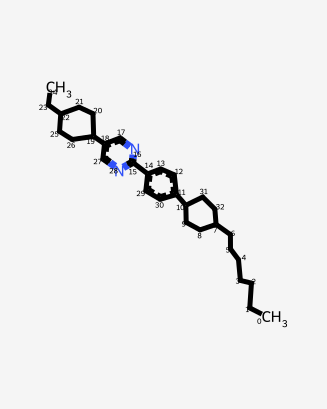 CCCCCCCC1CCC(c2ccc(-c3ncc(C4CCC(CC)CC4)cn3)cc2)CC1